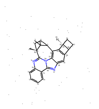 CC1(C)C2CC[C@@]1(C)c1nc3ccccc3c3nc4cc5c(c2c4n13)[C@H]1CCC51